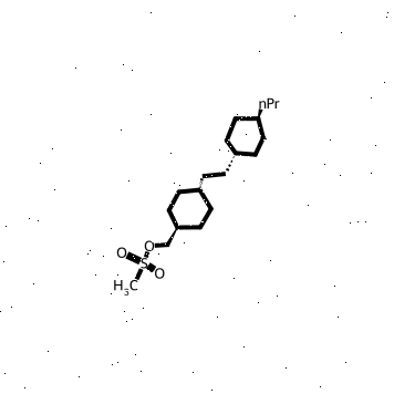 CCC[C@H]1CC[C@H](CC[C@H]2CC[C@H](COS(C)(=O)=O)CC2)CC1